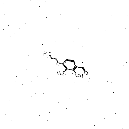 CCCOc1ccc(C=O)c(O)c1C